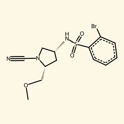 COC[C@H]1C[C@@H](NS(=O)(=O)c2ccccc2Br)CN1C#N